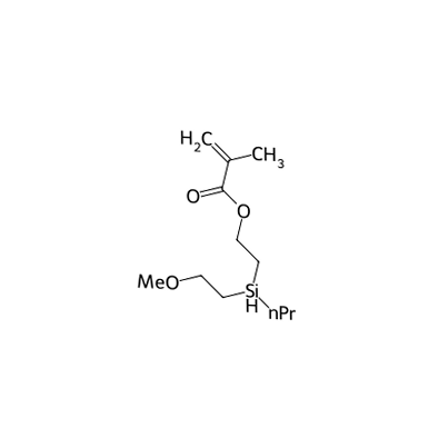 C=C(C)C(=O)OCC[SiH](CCC)CCOC